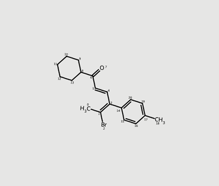 CC(Br)=C(C=CC(=O)C1CCCCC1)c1ccc(C)cc1